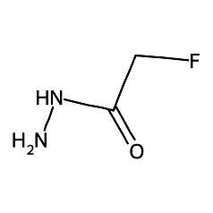 NNC(=O)CF